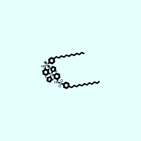 CCCCCCCCCCCCc1ccc(S(=O)(=O)Nc2ccc(F)[c]([Ti]([c]3c(F)ccc(NS(=O)(=O)c4ccc(CCCCCCCCCCCC)cc4)c3F)([CH]3C=CC=C3)[CH]3C=CC=C3)c2F)cc1